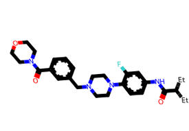 CCC(CC)C(=O)Nc1ccc(N2CCN(Cc3cccc(C(=O)N4CCOCC4)c3)CC2)c(F)c1